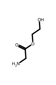 NCC(=O)OCCO